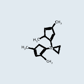 CC1=CC(C)[C]([Zr]2([C]3=C(C)C=C(C)C3)[CH2][CH2]2)=C1